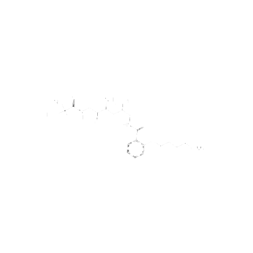 COCCCCOc1ccccc1C(=O)NCC(CC(N)C(O)CNC(=O)C(C)(C)C#N)C(C)C